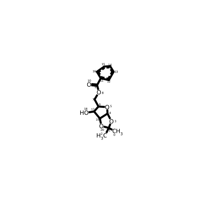 CC1(C)OC2OC(COC(=O)c3ccccc3)C(O)C2O1